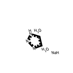 O.O.[NaH].c1c[nH]nn1